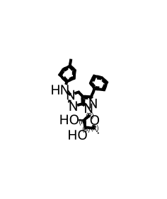 Cc1ccc(NN2C=Nc3c(c(-c4ccccc4)nn3[C@@H]3O[C@H](C)[C@@H](O)[C@H]3O)C2)cc1